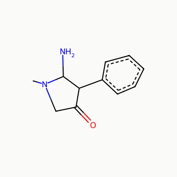 CN1CC(=O)C(c2ccccc2)C1N